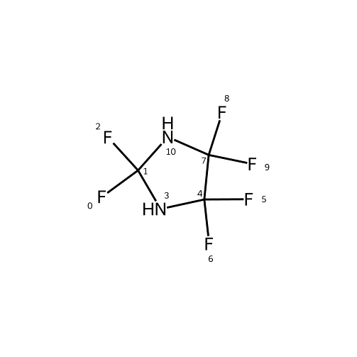 FC1(F)NC(F)(F)C(F)(F)N1